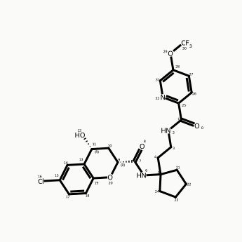 O=C(NCCC1(NC(=O)[C@H]2C[C@@H](O)c3cc(Cl)ccc3O2)CCCC1)c1ccc(OC(F)(F)F)cn1